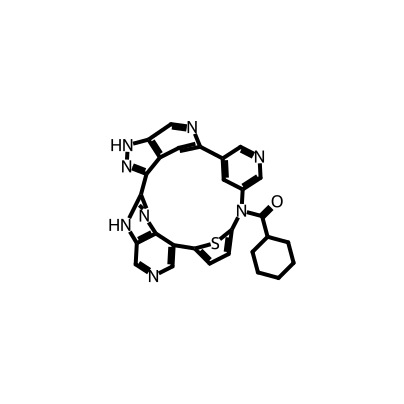 O=C(C1CCCCC1)n1c2cncc(c2)c2cc3c(cn2)[nH]nc3c2nc3c(cncc3c3ccc1s3)[nH]2